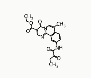 CCOC(=O)c1cnc2c3cc(NC(=O)C(=O)CC)ccc3c(C)cn2c1=O